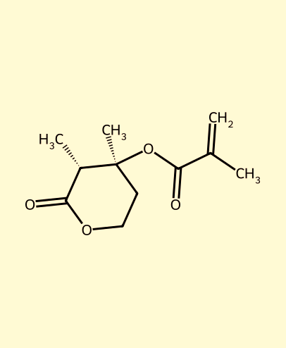 C=C(C)C(=O)O[C@@]1(C)CCOC(=O)[C@@H]1C